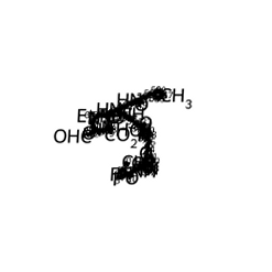 C#C[C@H]1CC(F)(F)CN1C(=O)CNC(=O)c1ccnc2ccc(OCCCC3CCN(C(=O)[C@H](O)CSCCNC(=O)C(CCCCNC(=O)CCCc4ccc(C)cc4)NC(=O)CN4CCN(CC)CCN(COC=O)CCN(CC(=O)O)CC4)CC3)cc12